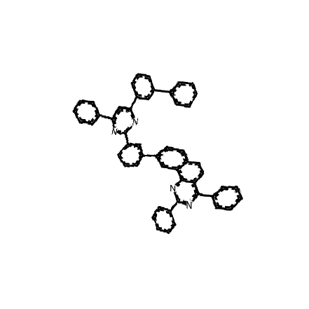 c1ccc(-c2cccc(-c3cc(-c4ccccc4)nc(-c4cccc(-c5ccc6ccc7c(-c8ccccc8)nc(-c8ccccc8)nc7c6c5)c4)n3)c2)cc1